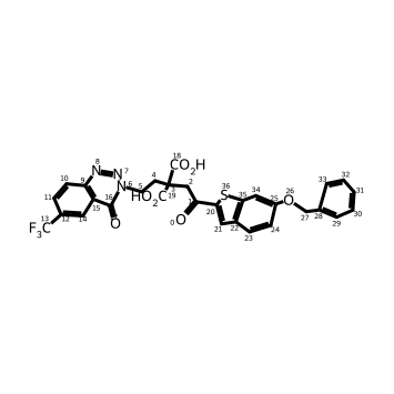 O=C(CC(CCn1nnc2ccc(C(F)(F)F)cc2c1=O)(C(=O)O)C(=O)O)c1cc2ccc(OCc3ccccc3)cc2s1